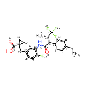 CCC1=CCC([C@@H](C(=O)Nc2cc(CC3(C(=O)O)CC3)ccc2F)[C@@H](C)C(F)(F)F)C=C1